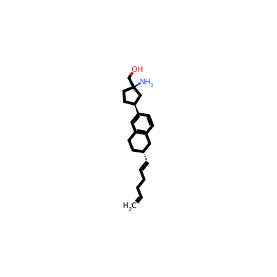 C=CCC/C=C/[C@@H]1CCc2cc([C@H]3CC[C@](N)(CO)C3)ccc2C1